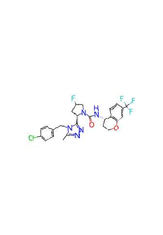 Cc1nnc([C@H]2CC(F)CN2C(=O)N[C@H]2CCOc3cc(C(F)(F)F)ccc32)n1Cc1ccc(Cl)cc1